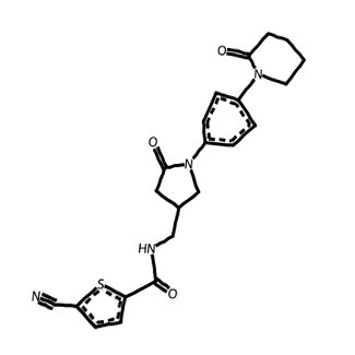 N#Cc1ccc(C(=O)NCC2CC(=O)N(c3ccc(N4CCCCC4=O)cc3)C2)s1